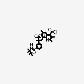 Cc1cc(CC(C)(C(=O)O)c2cccc(B3NC(C)(C)C(C)(C)O3)c2)c2nc(C)c(C)c(C(=O)Cl)c2c1